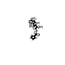 N#C[C@@]1(c2ccc3c(N)ncnn23)O[C@H](COC(=O)C2CCCC2)[C@@H](O)[C@H]1O